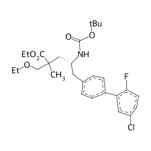 CCOCC(C)(C[C@@H](Cc1ccc(-c2cc(Cl)ccc2F)cc1)NC(=O)OC(C)(C)C)C(=O)OCC